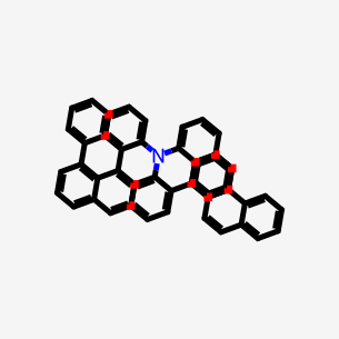 c1ccc(-c2cccc3cccc(-c4ccccc4N(c4ccccc4-c4cccc5c4ccc4ccccc45)c4cccc5ccccc45)c23)cc1